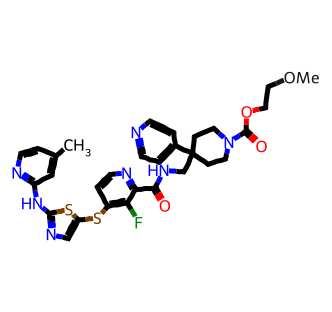 COCCOC(=O)N1CCC(CNC(=O)c2nccc(Sc3cnc(Nc4cc(C)ccn4)s3)c2F)(c2ccncc2)CC1